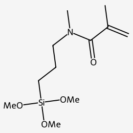 C=C(C)C(=O)N(C)CCC[Si](OC)(OC)OC